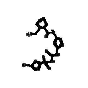 NCc1ccccc1C(=O)Nc1cnc(NC(=O)NS(=O)(=O)c2ccc(Cl)s2)s1